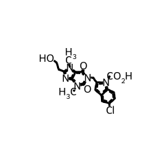 Cn1c(CCO)nc2c1c(=O)n(Cc1cc3cc(Cl)ccc3n1C(=O)O)c(=O)n2C